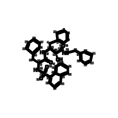 O=C(N[C@@H](Cc1ccccc1)[C@@H](O)C(=O)NCc1ccccc1)[C@H](Cc1ccccc1)NS(=O)(=O)c1cccc2ccccc12